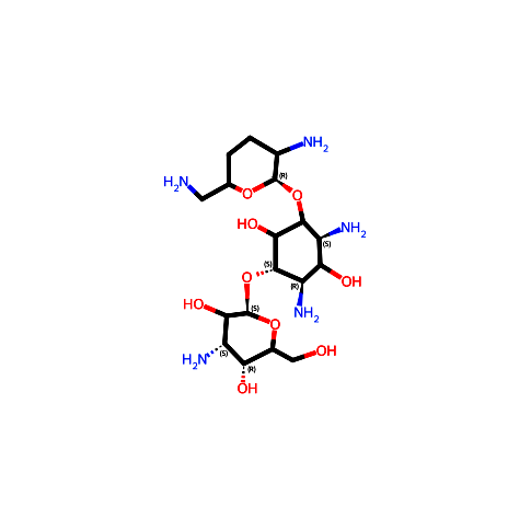 NCC1CCC(N)[C@@H](OC2C(O)[C@@H](O[C@H]3OC(CO)[C@H](O)[C@H](N)C3O)[C@H](N)C(O)[C@@H]2N)O1